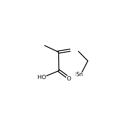 C=C(C)C(=O)O.C[CH2][Sn]